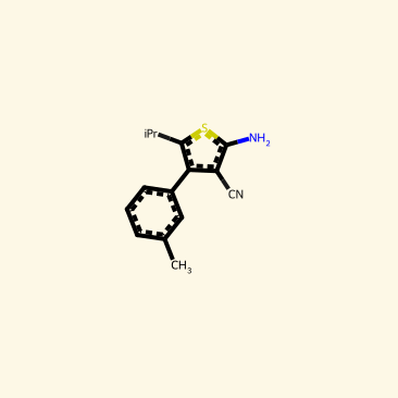 Cc1cccc(-c2c(C(C)C)sc(N)c2C#N)c1